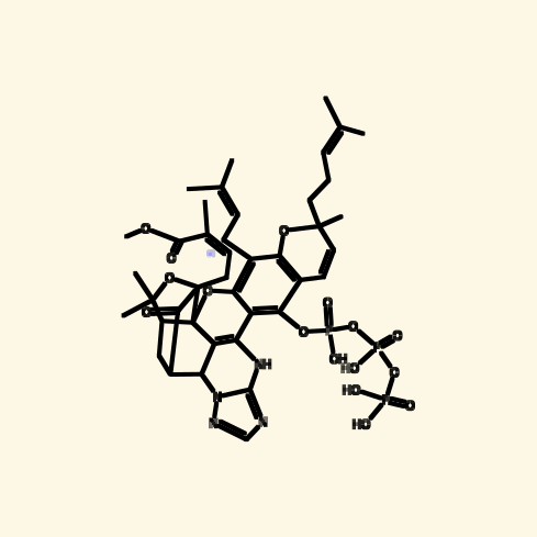 COC(=O)/C(C)=C\CC12OC(C)(C)C3CC(C1=O)C1C4=C(Nc5ncnn51)c1c(OP(=O)(O)OP(=O)(O)OP(=O)(O)O)c5c(c(CC=C(C)C)c1OC432)OC(C)(CCC=C(C)C)C=C5